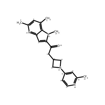 Cc1cc(C)c2c(cc(C(=O)CC3CN(c4ccnc(C(F)(F)F)c4)C3)n2C)n1